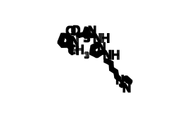 Cc1cccc(Cl)c1NC(=O)c1cnc(Nc2cccc(NCCCCCn3ccnc3)n2)s1